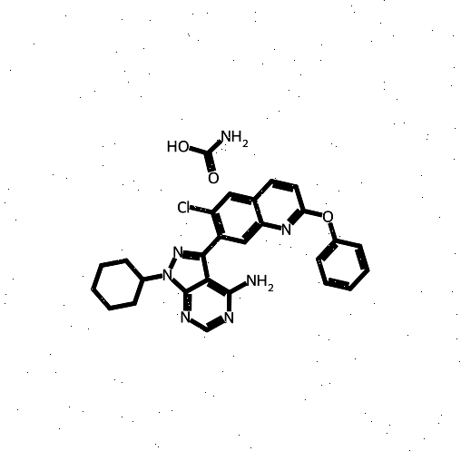 NC(=O)O.Nc1ncnc2c1c(-c1cc3nc(Oc4ccccc4)ccc3cc1Cl)nn2C1CCCCC1